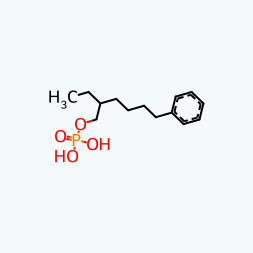 CCC(CCCCc1ccccc1)COP(=O)(O)O